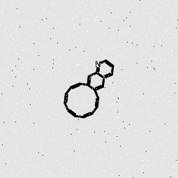 C1=C\C=C/C=C\c2cc3ncccc3cc2/C=C\C=C/1